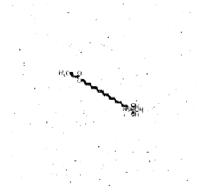 CC=CC(=O)OCCCCCCCCCCCCCCC[SH]=P(O)(O)O